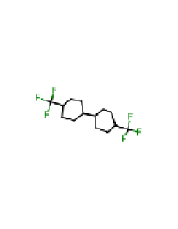 FC(F)(F)C1CC[C](C2CCC(C(F)(F)F)CC2)CC1